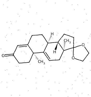 C[C@]12CCC(=O)C=C1CC[C@@H]1C2=CC[C@@]2(C)[C@H]1CCC21OCCO1